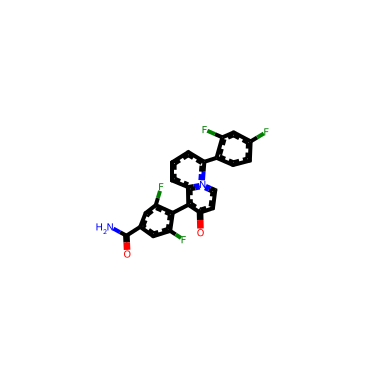 NC(=O)c1cc(F)c(-c2c(=O)ccn3c(-c4ccc(F)cc4F)cccc23)c(F)c1